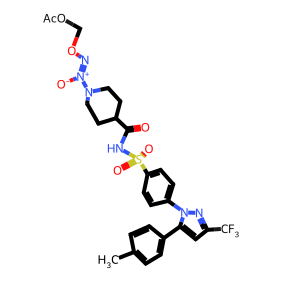 CC(=O)OCO/N=[N+](\[O-])N1CCC(C(=O)NS(=O)(=O)c2ccc(-n3nc(C(F)(F)F)cc3-c3ccc(C)cc3)cc2)CC1